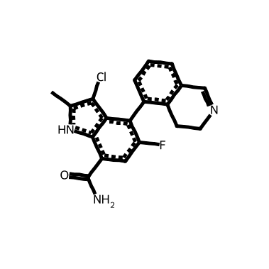 Cc1[nH]c2c(C(N)=O)cc(F)c(-c3cccc4c3CCN=C4)c2c1Cl